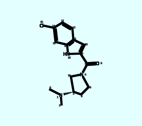 CN(C)[C@H]1CCN(C(=O)c2cc3ccc(Cl)cc3[nH]2)C1